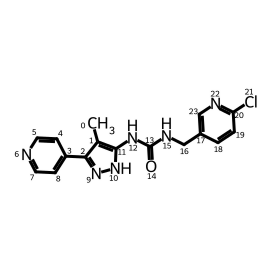 Cc1c(-c2ccncc2)n[nH]c1NC(=O)NCc1ccc(Cl)nc1